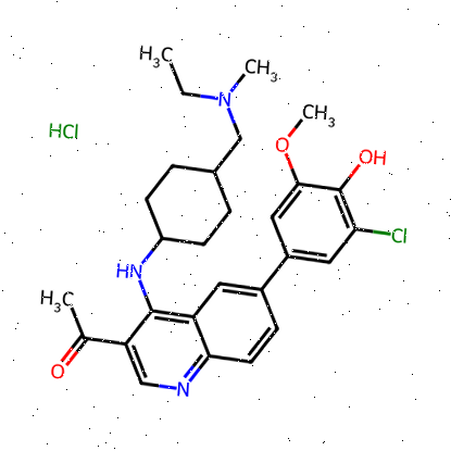 CCN(C)CC1CCC(Nc2c(C(C)=O)cnc3ccc(-c4cc(Cl)c(O)c(OC)c4)cc23)CC1.Cl